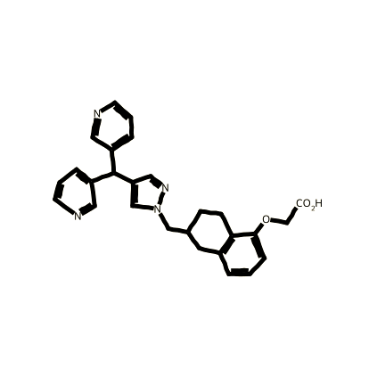 O=C(O)COc1cccc2c1CCC(Cn1cc(C(c3cccnc3)c3cccnc3)cn1)C2